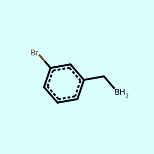 BCc1cccc(Br)c1